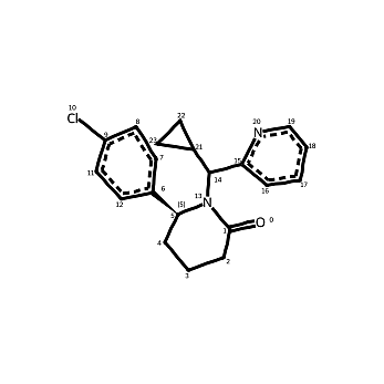 O=C1CCC[C@@H](c2ccc(Cl)cc2)N1C(c1ccccn1)C1CC1